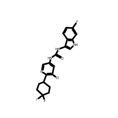 O=C(Nc1cnc(C2CCC(F)(F)CC2)c(Cl)c1)Nc1c[nH]c2cc(F)ccc12